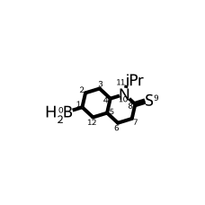 BC1CCC2C(CCC(=S)N2C(C)C)C1